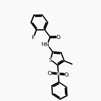 Cc1cc(NC(=O)c2ccccc2F)sc1S(=O)(=O)c1ccccc1